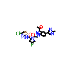 CC(=O)c1nn(CC(=O)N2C[C@H](F)C[C@H]2C(=O)Nc2nc(Cl)cs2)c2ccc(-c3cnc(C)nc3)cc12